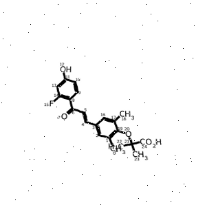 Cc1cc(C=CC(=O)c2ccc(O)cc2F)cc(C)c1OC(C)(C)C(=O)O